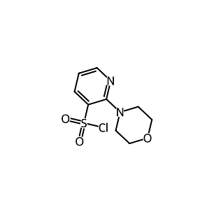 O=S(=O)(Cl)c1cccnc1N1CCOCC1